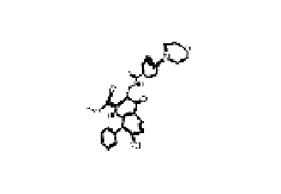 COC(=O)c1[nH]c2c(-c3ccccc3)c(Cl)ccc2c(=O)c1CNC(=O)c1ccc(N2CCOCC2)cc1